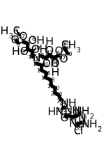 C[C@@H]1OC[C@H]([C@@H](O)[C@H](O)[C@@H](O)CN(CCCCCCCCCCCNC(=N)NC(=O)c2nc(Cl)c(N)nc2N)C[C@H](O)[C@@H](O)[C@H](O)[C@H]2OC[C@@H](C)O2)O1